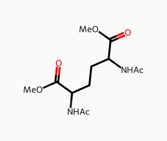 COC(=O)C(CCC(NC(C)=O)C(=O)OC)NC(C)=O